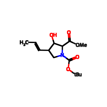 C/C=C/C1CN(C(=O)OC(C)(C)C)C(C(=O)OC)C1O